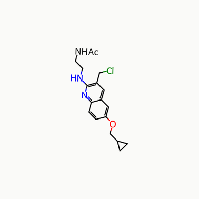 CC(=O)NCCNc1nc2ccc(OCC3CC3)cc2cc1CCl